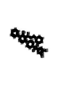 O=c1c(NCCN2CCCCC2)c(N2CCN(S(=O)(=O)c3cc(Cl)c(Cl)s3)CC2)cnn1-c1ccccc1